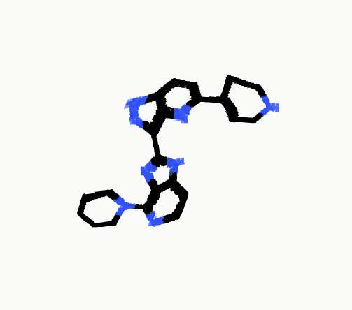 C1=C(c2ccc3[nH]nc(-c4nc5c(N6CCCCC6)nccc5[nH]4)c3n2)CCNC1